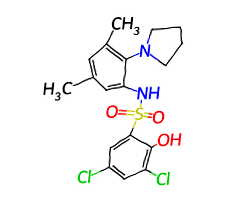 Cc1cc(C)c(N2CCCC2)c(NS(=O)(=O)c2cc(Cl)cc(Cl)c2O)c1